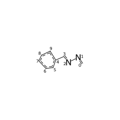 C=NN=Cc1ccccc1